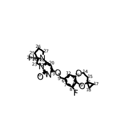 O=c1nc(OCc2cc(F)c3c(c2)OCCC2(CC2)O3)cc2n1C[C@@H]1CCCN21